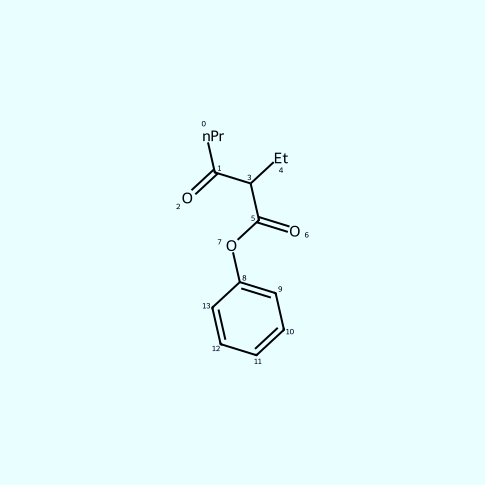 CCCC(=O)C(CC)C(=O)Oc1ccccc1